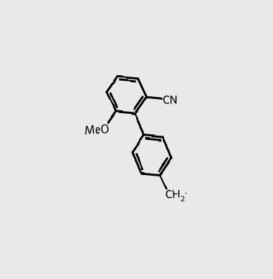 [CH2]c1ccc(-c2c(C#N)cccc2OC)cc1